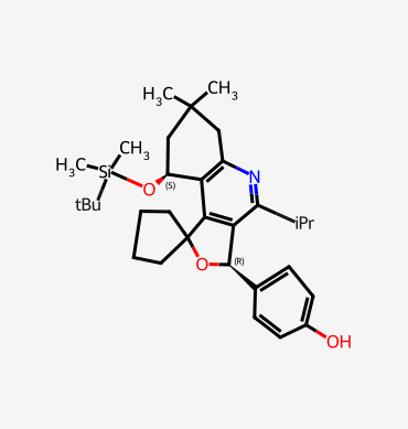 CC(C)c1nc2c(c3c1[C@@H](c1ccc(O)cc1)OC31CCCC1)[C@@H](O[Si](C)(C)C(C)(C)C)CC(C)(C)C2